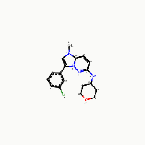 CN1C=C(c2cccc(Cl)c2)N2N=C(NC3CCOCC3)C=CC12